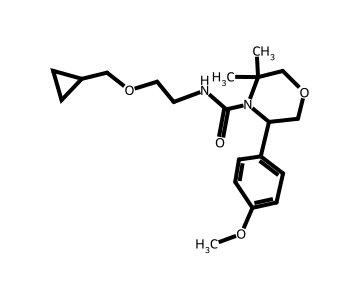 COc1ccc(C2COCC(C)(C)N2C(=O)NCCOCC2CC2)cc1